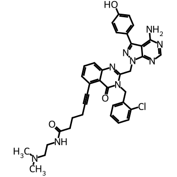 CN(C)CCNC(=O)CCCC#Cc1cccc2nc(Cn3nc(-c4ccc(O)cc4)c4c(N)ncnc43)n(Cc3ccccc3Cl)c(=O)c12